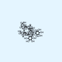 O=P(O)(O)OP(=O)(O)OP(=O)(O)OP(=O)(O)OP(=O)(O)OP(=O)(O)OP(=O)(OP(=O)(O)OP(=O)(O)OP(=O)(O)OP(=O)(O)O)OP(=O)(O[C@]1(O)[C@H](O)[C@H](O)[C@@H](O)[C@H](O)[C@H]1O)O[C@]1(O)[C@H](O)[C@H](O)[C@@H](O)[C@H](O)[C@H]1O